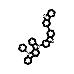 c1ccc(-n2c3ccccc3c3ccc4c(c5ccccc5n4-c4ccc5sc6ccc(-c7ccc8sc9ccccc9c8c7)cc6c5c4)c32)cc1